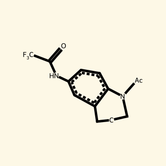 CC(=O)N1CCCc2cc(NC(=O)C(F)(F)F)ccc21